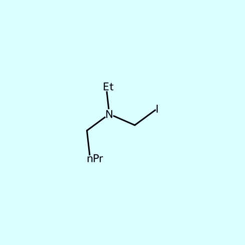 CCCCN(CC)CI